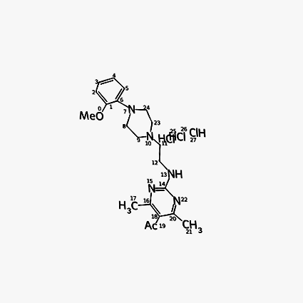 COc1ccccc1N1CCN(CCNc2nc(C)c(C(C)=O)c(C)n2)CC1.Cl.Cl.Cl